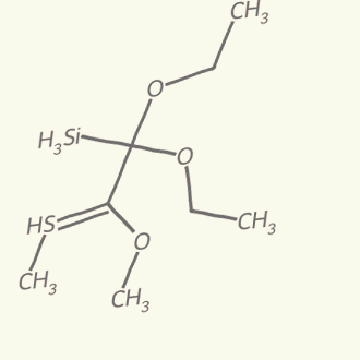 CCOC([SiH3])(OCC)C(OC)=[SH]C